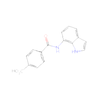 O=C(O)c1ccc(C(=O)Nc2cccc3cc[nH]c23)cc1